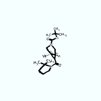 CC(C)(C)OC(=O)N1C[C@@H]2C(C(=O)N3CCCC3(C)C)[C@@H]2C1